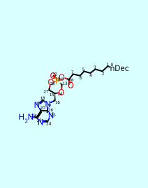 CCCCCCCCCCCCCCCCCC(=O)OP1(=O)CO[C@@H](Cn2cnc3c(N)ncnc32)CO1